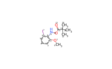 COc1cccc(I)c1NOC(=O)C(C)(C)C